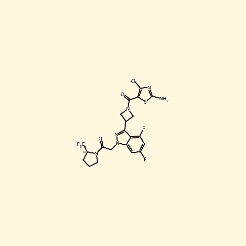 Nc1nc(Cl)c(C(=O)N2CC(c3nn(CC(=O)N4CCC[C@H]4C(F)(F)F)c4cc(F)cc(F)c34)C2)s1